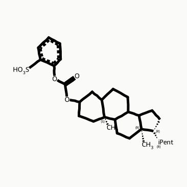 CCC[C@@H](C)[C@H]1CCC2C3CCC4CC(OC(=O)Oc5ccccc5S(=O)(=O)O)CC[C@]4(C)C3CC[C@@]21C